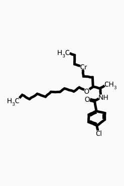 CCCCCCCCCCOC(C[CH2][Cr][CH2]CC)C(C)NC(=O)c1ccc(Cl)cc1